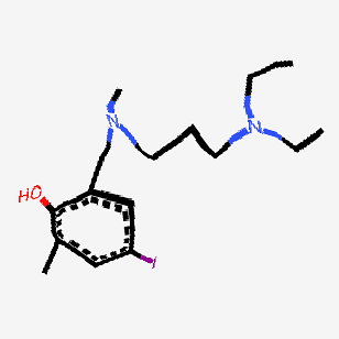 CCN(CC)CCCN(C)Cc1cc(I)cc(C)c1O